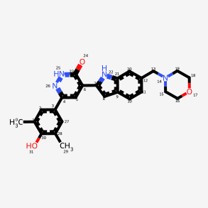 Cc1cc(-c2cc(-c3cc4ccc(CN5CCOCC5)cc4[nH]3)c(=O)[nH]n2)cc(C)c1O